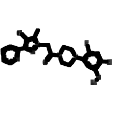 CCOc1cc(N2CCN(C(=O)Cn3nc(-c4ccccn4)c(Cl)c3C)CC2)c(F)cc1Cl